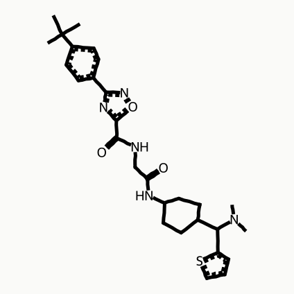 CN(C)C(c1cccs1)C1CCC(NC(=O)CNC(=O)c2nc(-c3ccc(C(C)(C)C)cc3)no2)CC1